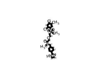 Cc1cc(S(=O)(=O)N(C)CCOCC(=O)N(C)Cc2ccc(C3=NCCN3)cc2)c(Cl)cc1Cl